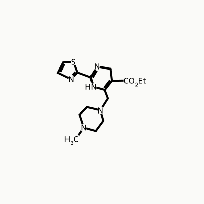 CCOC(=O)C1=C(CN2CCN(C)CC2)NC(c2nccs2)=NC1